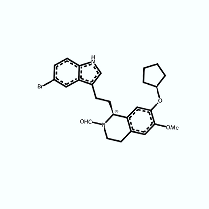 COc1cc2c(cc1OC1CCCC1)[C@H](CCc1c[nH]c3ccc(Br)cc13)N(C=O)CC2